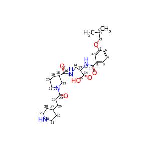 CC(C)COc1cccc(C(=O)NC(CNC(=O)[C@@H]2CCCN(C(=O)CCC3CCNCC3)C2)C(=O)O)c1